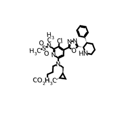 C[C@H]1C[C@@H]1CN(CCCC(=O)O)c1cc(-c2nnc([C@H]3NCCC[C@H]3c3ccccc3)o2)c(Cl)c(N(C)S(C)(=O)=O)n1